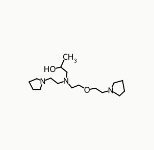 CC(O)CN(CCOCCN1CCCC1)CCN1CCCC1